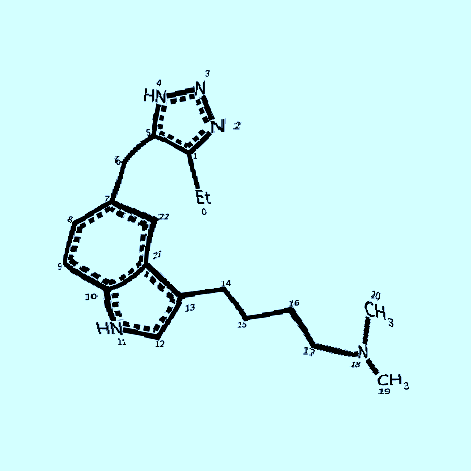 CCc1nn[nH]c1Cc1ccc2[nH]cc(CCCCN(C)C)c2c1